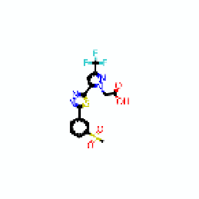 CS(=O)(=O)c1cccc(-c2nnc(-c3cc(C(F)(F)F)nn3CC(=O)O)s2)c1